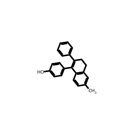 Cc1ccc2c(c1)CCC(c1ccccc1)=C2c1ccc(O)cc1